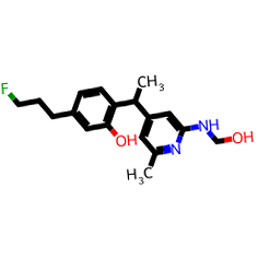 Cc1cc(C(C)c2ccc(CCCF)cc2O)cc(NCO)n1